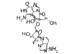 Nc1nc2c(ncn2[C@@H]2O[C@H](CO)C[C@H]2P(O)(=S)OC[C@H]2O[C@@H](n3ccc4c(N)ncnc43)[C@@H](F)[C@@H]2O)c(=O)[nH]1